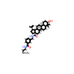 C=C(C)[C@@H]1CC[C@]2(C(=O)NCc3cccc(C(=O)NCCNC(C)=O)c3)CC[C@]3(C)C(CCC4[C@@]5(C)CC[C@H](O)C(C)(C)C5CC[C@]43C)C12